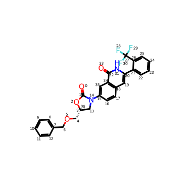 O=C1O[C@@H](COCc2ccccc2)CN1c1ccc2cc(-c3ccccc3C(F)(F)F)[nH]c(=O)c2c1